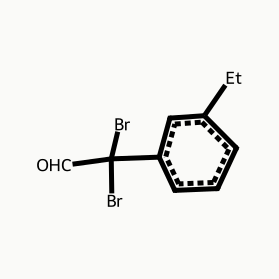 CCc1cccc(C(Br)(Br)C=O)c1